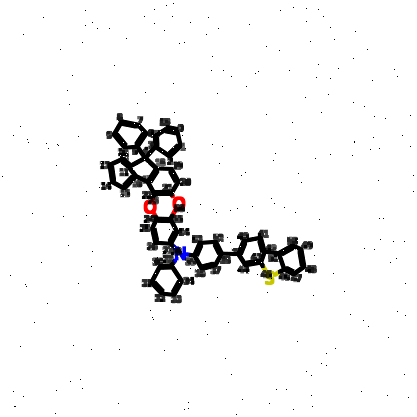 c1ccc(C2(c3ccccc3)c3ccccc3-c3c2ccc2c3Oc3ccc(N(c4ccccc4)c4ccc(-c5ccc6c(c5)sc5ccccc56)cc4)cc3O2)cc#1